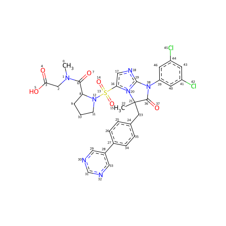 CN(CC(=O)O)C(=O)C1CCCN1S(=O)(=O)c1cnc2n1C(C)(Cc1ccc(-c3cncnc3)cc1)C(=O)N2c1cc(Cl)cc(Cl)c1